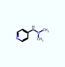 CN(C)Bc1ccncc1